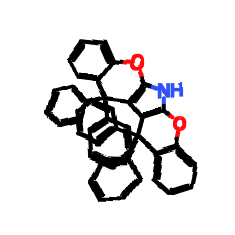 c1ccc(C2(c3ccccc3)c3ccccc3Oc3[nH]c4c(c32)C(c2ccccc2)(c2ccccc2)c2ccccc2O4)cc1